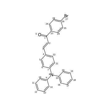 O=C(C=Cc1ccc(N(c2ccccc2)c2ccccc2)cc1)c1ccc(Br)cc1